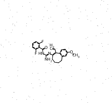 C=C/C1=C(\N=C(/N)NC(=O)c2c(F)cccc2F)CCCCc2cc(OC)ccc21